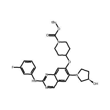 CC(C)(C)OC(=O)N1CCC(Oc2cc3nc(Nc4cccc(F)c4)ncc3cc2N2CC[C@@H](O)C2)CC1